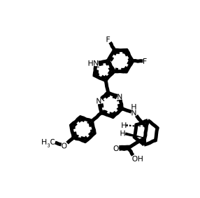 COc1ccc(-c2cc(N[C@H]3C4CCC(CC4)[C@@H]3C(=O)O)nc(-c3c[nH]c4c(F)cc(F)cc34)n2)cc1